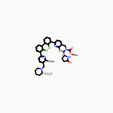 COc1nc(-c2cccc(-c3cccc(-c4ccc(CN5CCCC[C@H]5C(=O)O)c(OC)n4)c3Cl)c2Cl)ccc1CN(C[C@@H]1CCC(=O)N1)C(=O)OC(C)(C)C